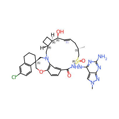 C[C@H]1C/C=C/[C@H](O)[C@@H]2CC[C@H]2CN2C[C@@]3(CCCc4cc(Cl)ccc43)COc3ccc(cc32)C(=O)N=[S@](=O)(Nc2nc(N)nc3nn(C)cc23)C1